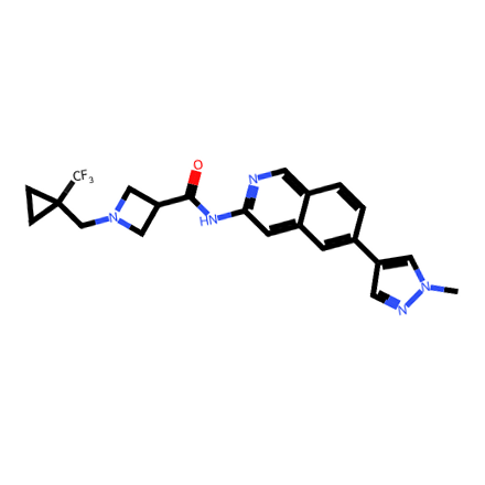 Cn1cc(-c2ccc3cnc(NC(=O)C4CN(CC5(C(F)(F)F)CC5)C4)cc3c2)cn1